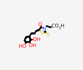 O=C(O)CCN1C(=O)C(=CC=Cc2ccc(O)c(O)c2O)SC1=S